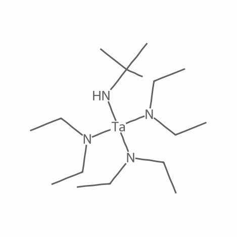 CC[N](CC)[Ta]([NH]C(C)(C)C)([N](CC)CC)[N](CC)CC